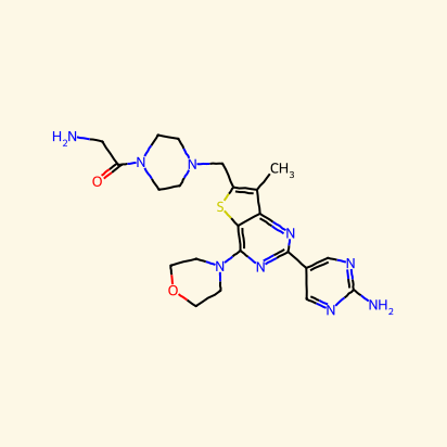 Cc1c(CN2CCN(C(=O)CN)CC2)sc2c(N3CCOCC3)nc(-c3cnc(N)nc3)nc12